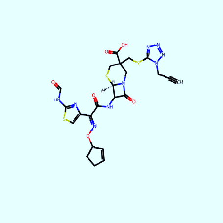 C#CCn1nnnc1SCC1(C(=O)O)CS[C@@H]2C(NC(=O)C(=NOC3C=CCC3)c3csc(NC=O)n3)C(=O)N2C1